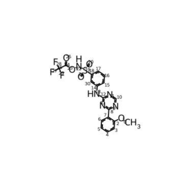 COc1ccccc1-c1ncnc(Nc2cccc(S(=O)(=O)NOC(=O)C(F)(F)F)c2)n1